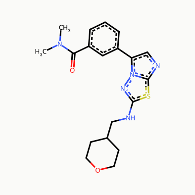 CN(C)C(=O)c1cccc(-c2cnc3sc(NCC4CCOCC4)nn23)c1